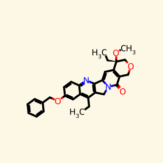 CCc1c2c(nc3ccc(OCc4ccccc4)cc13)-c1cc3c(c(=O)n1C2)COC[C@@]3(CC)OC